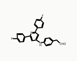 O=CCc1ccc(Nc2cc(-c3ccc(F)cc3)nc(-c3ccc(F)cc3)c2)cc1